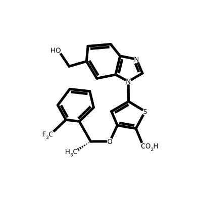 C[C@@H](Oc1cc(-n2cnc3ccc(CO)cc32)sc1C(=O)O)c1ccccc1C(F)(F)F